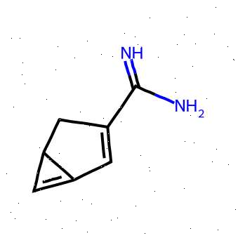 N=C(N)C1=CC2=CC2C1